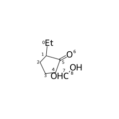 CCC1CCCC1=O.O=CO